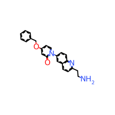 NCCc1ccc2cc(-n3ccc(OCc4ccccc4)cc3=O)ccc2n1